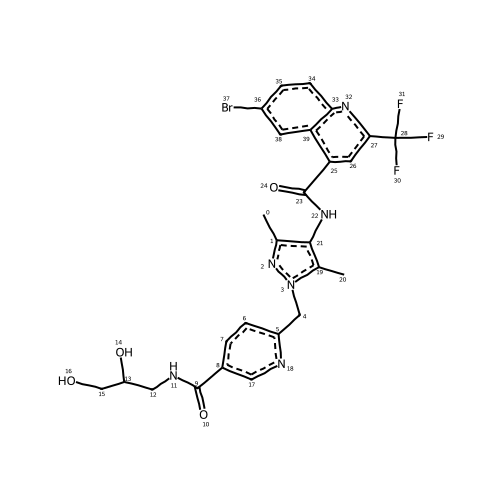 Cc1nn(Cc2ccc(C(=O)NCC(O)CO)cn2)c(C)c1NC(=O)c1cc(C(F)(F)F)nc2ccc(Br)cc12